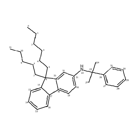 CCCCCCC1(CCCCC)c2ccccc2-c2ccc(NC(C)(C)c3ccccc3)cc21